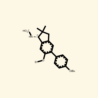 CCOc1cc2c(cc1-c1ccc(OCC(C)C)cc1)CC(C)(C)[C@H]2NC(=O)O